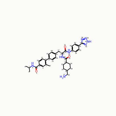 Cc1cc(C(=O)NC(C)C)ccc1-c1ccc(C[C@H](NC(=O)C2CCC(CN)CC2)C(=O)Nc2ccc(-c3nn[nH]n3)cc2)cc1